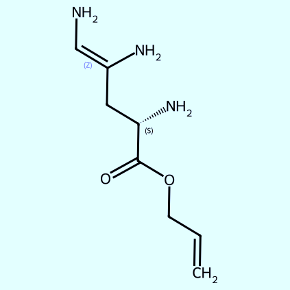 C=CCOC(=O)[C@@H](N)C/C(N)=C/N